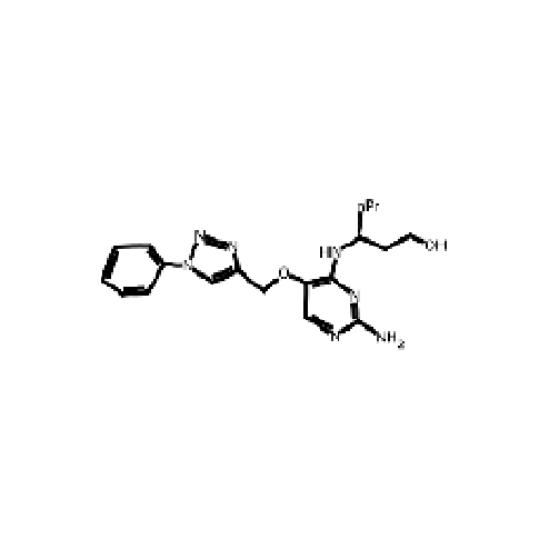 CCC[C@@H](CCO)Nc1nc(N)ncc1OCc1cn(-c2ccccc2)nn1